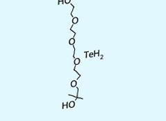 CC(C)(O)COCCOCCOCCOCCO.[TeH2]